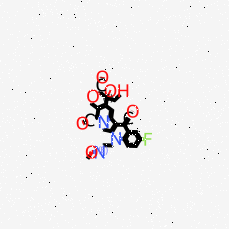 CC[C@@]1(O)C(=C=O)OCC2=C1C=C1C3=C(CN1C2=C=O)N(C/C=N/OC)c1ccc(F)cc1C3=C=O